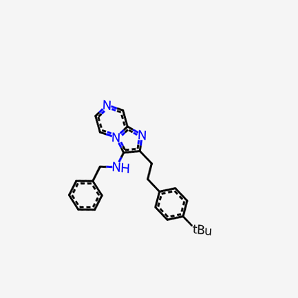 CC(C)(C)c1ccc(CCc2nc3cnccn3c2NCc2ccccc2)cc1